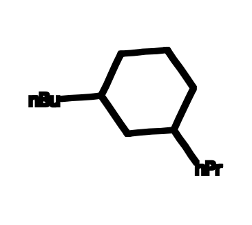 C[CH]CCC1CCCC(CCC)C1